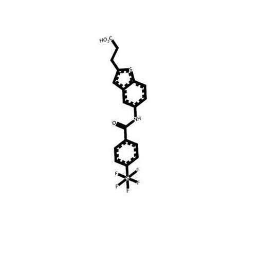 O=C(O)CCc1cc2cc(NC(=O)c3ccc(S(F)(F)(F)(F)F)cc3)ccc2s1